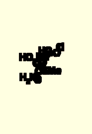 CSc1cc(C(N)=O)ccc1-n1ccc(NC[C@H](O)c2cccc(Cl)c2)c(C(=O)O)c1=O